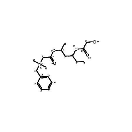 CCC(CC(C)OC(=O)C[N+](C)(C)Cc1ccccc1)OC(=O)CCl